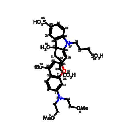 COCCN(CCOC)c1ccc2c(c1)OC(/C=C1/N(CCCS(=O)(=O)O)c3ccc(S(=O)(=O)O)cc3C1(C)CCCC(=O)O)C=C2C(C)(C)C